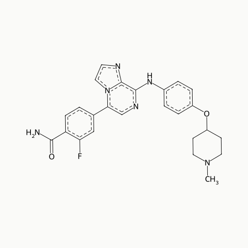 CN1CCC(Oc2ccc(Nc3ncc(-c4ccc(C(N)=O)c(F)c4)n4ccnc34)cc2)CC1